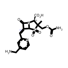 CC1(COC(N)=O)[C@H](C(=O)O)N2C(=O)/C(=C/c3cc(CN)ccn3)C2S1(=O)=O